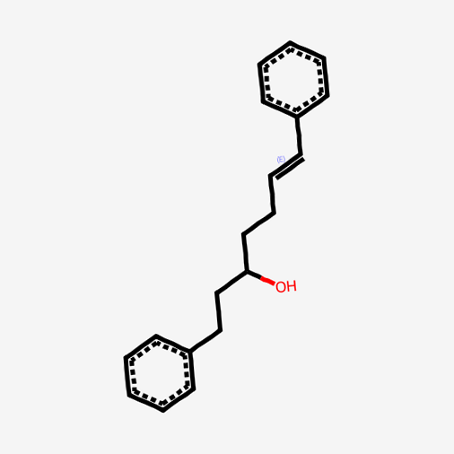 OC(CC/C=C/c1ccccc1)CCc1ccccc1